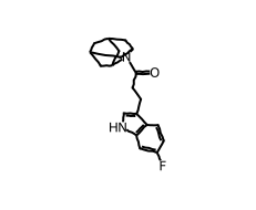 O=C(CCc1c[nH]c2cc(F)ccc12)N1C2CC3CC(C2)CC1C3